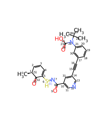 C[C@H]1C=CC=C(/[SH]=N/C(=O)c2cncc(C#Cc3cccc(N(C(=O)O)C(C)(C)C)c3)c2)C1=O